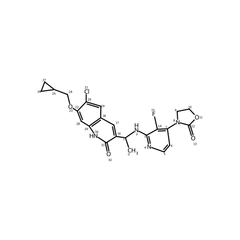 CC(Nc1nccc(N2CCOC2=O)c1F)c1cc2cc(Cl)c(OCC3CC3)cc2[nH]c1=O